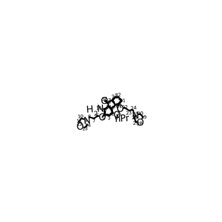 CCCOc1cc(OCCCN2CCOCC2)c(N)c2c1-c1c(OCCCN3CCOCC3)cccc1C2=O